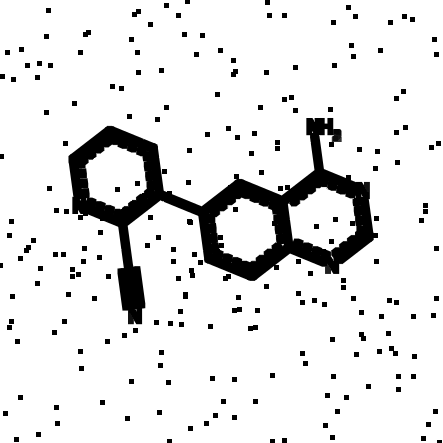 N#Cc1ncccc1-c1ccc2ncnc(N)c2c1